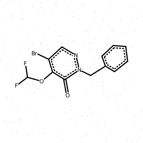 O=c1c(OC(F)F)c(Br)cnn1Cc1ccccc1